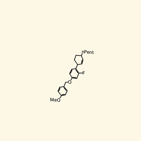 CCCCCC1C=CC(c2ccc(OCc3ccc(OC)cc3)cc2F)CC1